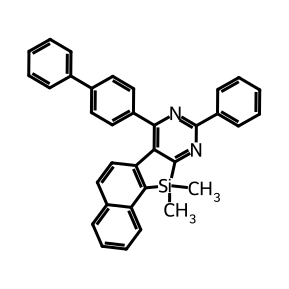 C[Si]1(C)c2nc(-c3ccccc3)nc(-c3ccc(-c4ccccc4)cc3)c2-c2ccc3ccccc3c21